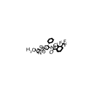 Cn1cnc(S(=O)(=O)N2C[C@H](c3ccccc3)[C@H](NC(=O)c3cccc(C(F)(F)F)c3Cl)C2)c1